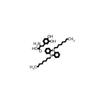 CCCCCCCCN1c2ccccc2N(CCCCCCCC)c2ccccc21.NC(Cc1ccc(O)c(O)c1)C(=O)O